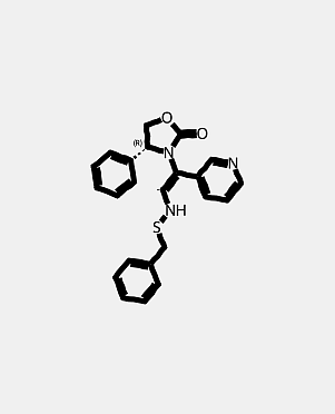 O=C1OC[C@@H](c2ccccc2)N1C(=[C]NSCc1ccccc1)c1cccnc1